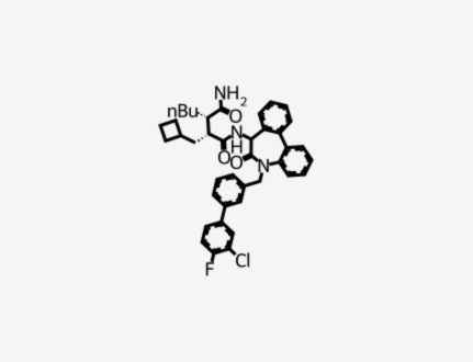 CCCC[C@H](C(N)=O)[C@@H](CC1CCC1)C(=O)NC1C(=O)N(Cc2cccc(-c3ccc(F)c(Cl)c3)c2)c2ccccc2-c2ccccc21